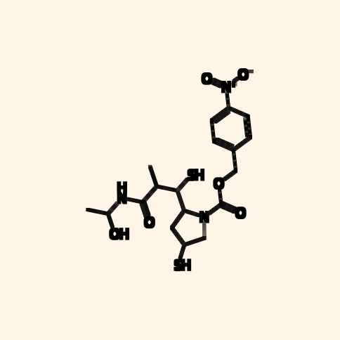 CC(O)NC(=O)C(C)C(S)C1CC(S)CN1C(=O)OCc1ccc([N+](=O)[O-])cc1